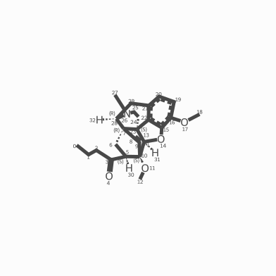 CCCC(=O)[C@H]1C[C@@]23C=C[C@@]1(OC)[C@@H]1Oc4c(OC)ccc5c4[C@@]12CCN(C)[C@@H]3C5